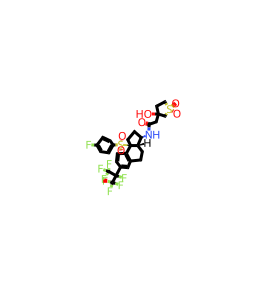 O=C(CC1(O)CCS(=O)(=O)C1)N[C@@H]1CC[C@@]2(S(=O)(=O)c3ccc(F)cc3)c3ccc(C(F)(C(F)(F)F)C(F)(F)F)cc3CC[C@@H]12